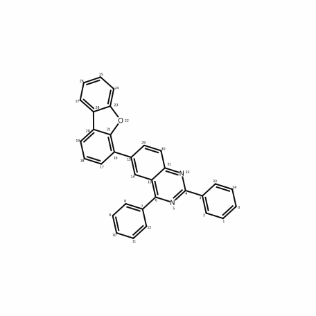 c1ccc(-c2nc(-c3ccccc3)c3cc(-c4cccc5c4oc4ccccc45)ccc3n2)cc1